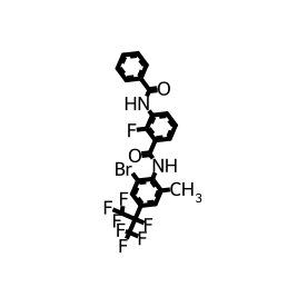 Cc1cc(C(F)(C(F)(F)F)C(F)(F)F)cc(Br)c1NC(=O)c1cccc(NC(=O)c2ccccc2)c1F